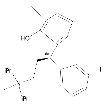 Cc1cccc([C@H](CC[N+](C)(C(C)C)C(C)C)c2ccccc2)c1O.[I-]